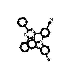 N#Cc1ccc(-n2c3ccccc3c3cc(Br)ccc32)c(-c2nc(-c3ccccc3)nc(-c3ccccc3)n2)c1